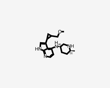 COCC1CC1c1c[nH]c2nccc(N[C@@H]3CC[C@H](C)NC3)c12